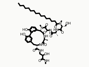 CCCCCCCCCCCCCCCC(=O)N(C)[C@H](CO)C(=O)N[C@H](C)C(=O)N[C@@H](C)C(=O)N(C)[C@@H]1C(=O)N[C@@H](C)C(=O)N[C@H](C(=O)NCC(O)C(=O)NC)Cc2ccc(O)c(c2)-c2cc1ccc2O